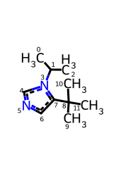 CC(C)n1cncc1C(C)(C)C